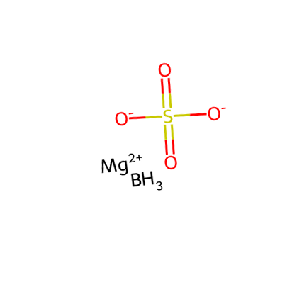 B.O=S(=O)([O-])[O-].[Mg+2]